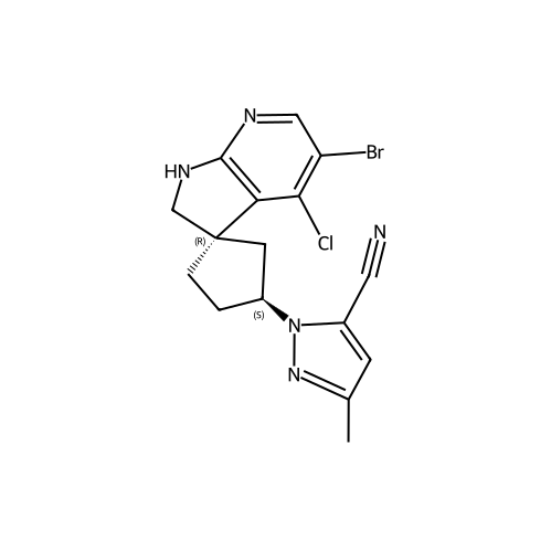 Cc1cc(C#N)n([C@H]2CC[C@@]3(CNc4ncc(Br)c(Cl)c43)C2)n1